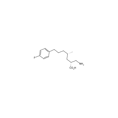 C[C@@H](CCCc1ccc(F)cc1)C[C@H](CN)C(=O)O